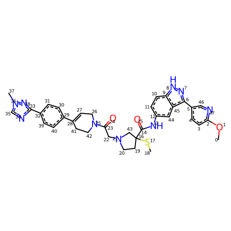 COc1ccc(-c2n[nH]c3ccc(NC(=O)C4(SC)CCN(CC(=O)N5CC=C(c6ccc(-c7ncn(C)n7)cc6)CC5)C4)cc23)cn1